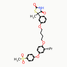 CCCc1cc(Oc2ccc(S(C)(=O)=O)cc2)ccc1OCCCCOc1cccc(C2(C)SC(=O)NC2=O)c1